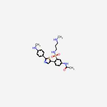 CNCCCNS(=O)(=O)c1cc(NC(C)=O)ccc1-c1cnc(-c2ccc(NC)cc2)s1